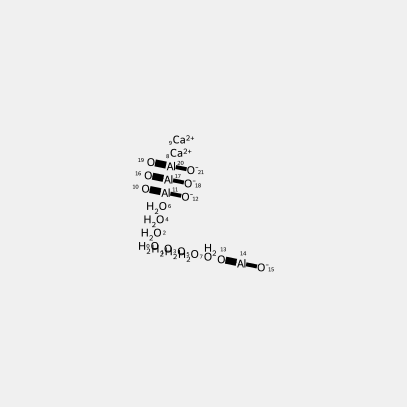 O.O.O.O.O.O.O.O.[Ca+2].[Ca+2].[O]=[Al][O-].[O]=[Al][O-].[O]=[Al][O-].[O]=[Al][O-]